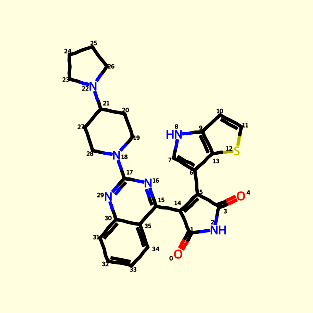 O=C1NC(=O)C(c2c[nH]c3ccsc23)=C1c1nc(N2CCC(N3CCCC3)CC2)nc2ccccc12